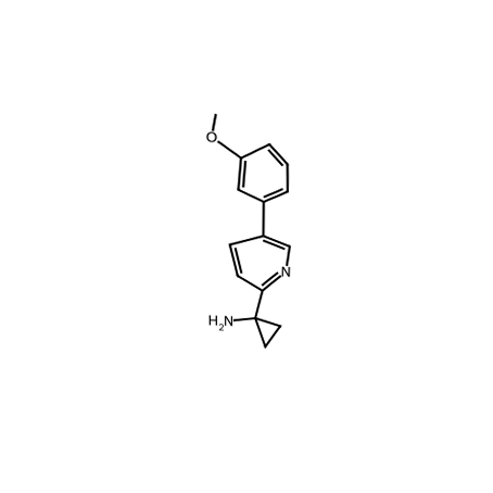 COc1cccc(-c2ccc(C3(N)CC3)nc2)c1